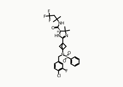 CC(C)(CC(F)(F)F)NC(=O)[C@@H]1NC(C23CC(N(Cc4ccc(Cl)c(F)c4)S(=O)(=O)c4ccccc4)(C2)C3)=NC1(C)C